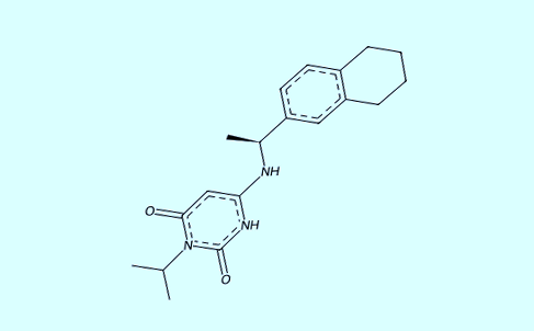 CC(C)n1c(=O)cc(N[C@@H](C)c2ccc3c(c2)CCCC3)[nH]c1=O